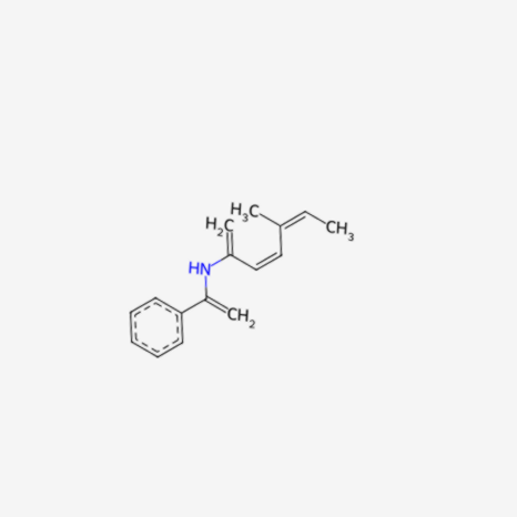 C=C(/C=C\C(C)=C/C)NC(=C)c1ccccc1